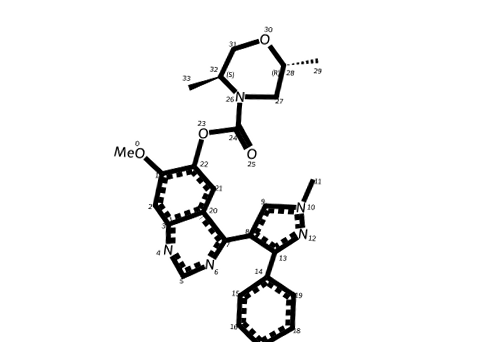 COc1cc2ncnc(-c3cn(C)nc3-c3ccccc3)c2cc1OC(=O)N1C[C@@H](C)OC[C@@H]1C